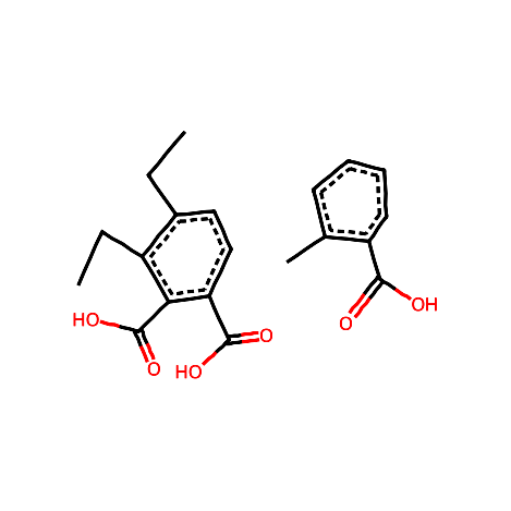 CCc1ccc(C(=O)O)c(C(=O)O)c1CC.Cc1ccccc1C(=O)O